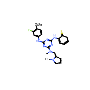 CCN1CCCC1CN(C)c1nc(NC2=CC=CCC2=S)nc(Nc2ccc(OC)c(F)c2)n1